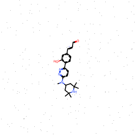 CN(c1ccc(-c2ccc(/C=C/[C]=O)cc2O)nn1)C1CC(C)(C)NC(C)(C)C1